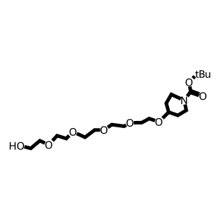 CC(C)(C)OC(=O)N1CCC(OCCOCCOCCOCCOCCO)CC1